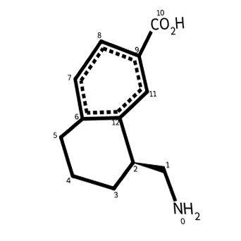 NC[C@H]1CCCc2ccc(C(=O)O)cc21